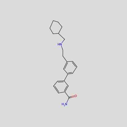 NC(=O)c1cccc(-c2cccc(CCNCC3CCCCC3)c2)c1